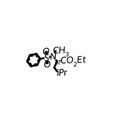 CCOC(=O)[C@H](CC(C)C)N(C)S(=O)(=O)c1ccccc1